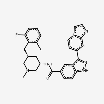 CN1C[C@@H](Cc2c(F)cccc2F)C[C@H](NC(=O)c2ccc3[nH]nc(-c4ccn5ccnc5c4)c3c2)C1